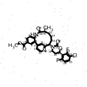 COC(=O)c1ccc2c(c1)-c1ccnc(c1)[C@@H](N1CC[C@H](c3c(F)ccc(Cl)c3F)OC1=O)CCC[C@@H](C)C(=O)N2